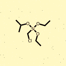 CCO[Si](CCl)(OCC)OC(C)C